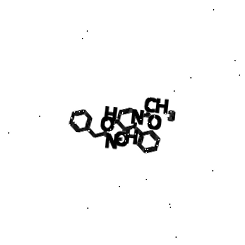 CC(=O)N1C=C[C@H]2OC(Cc3ccccc3)=NO[C@H]2[C@@H]1c1ccccc1